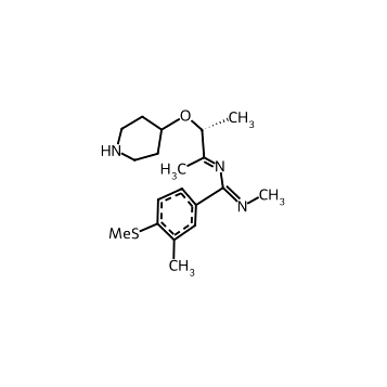 C/N=C(\N=C(/C)[C@@H](C)OC1CCNCC1)c1ccc(SC)c(C)c1